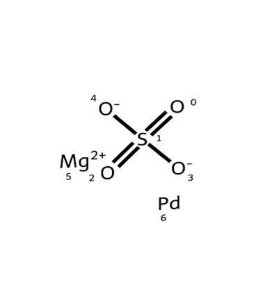 O=S(=O)([O-])[O-].[Mg+2].[Pd]